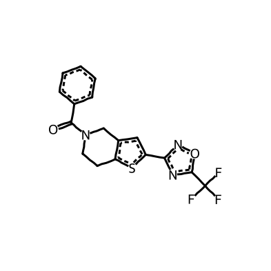 O=C(c1ccccc1)N1CCc2sc(-c3noc(C(F)(F)F)n3)cc2C1